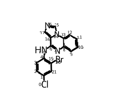 Clc1ccc(Nc2nc3ccccc3n3cncc23)c(Br)c1